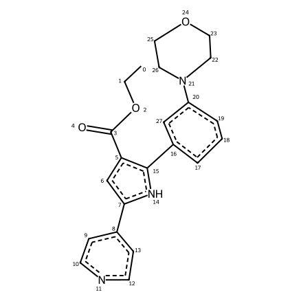 CCOC(=O)c1cc(-c2ccncc2)[nH]c1-c1cccc(N2CCOCC2)c1